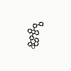 c1ccc(-c2cccc(-c3c4ccccc4c(-c4ccc(-c5cccc6oc7ccc8ccccc8c7c56)cc4)c4ccccc34)c2)cc1